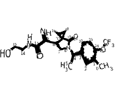 Cc1cc(C(C)N2CC(C(=N)C(=O)NCCO)C3(C=C3)C2=O)ccc1OC(F)(F)F